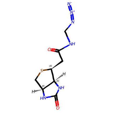 [N-]=[N+]=NCNC(=O)C[C@@H]1SC[C@@H]2NC(=O)N[C@@H]21